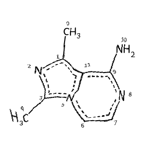 Cc1nc(C)n2ccnc(N)c12